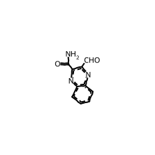 NC(=O)c1nc2ccccc2nc1C=O